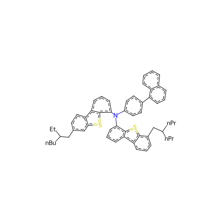 CCCCC(CC)Cc1ccc2c(c1)sc1c(N(c3ccc(-c4cccc5ccccc45)cc3)c3cccc4c3sc3c(CC(CCC)CCC)cccc34)cccc12